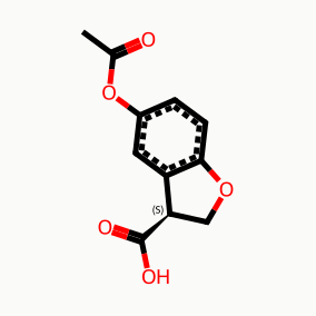 CC(=O)Oc1ccc2c(c1)[C@H](C(=O)O)CO2